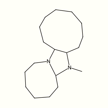 CN1C2CCCCCCCCC2N2CCCCCCC12